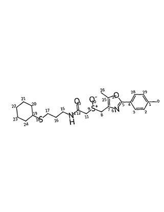 Cc1ccc(-c2nc(C[S+]([O-])CC(=O)NCCCSC3CCCCC3)c(C)o2)cc1